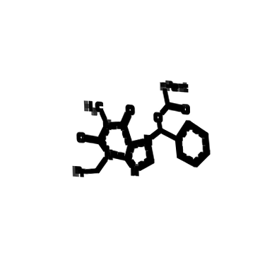 CCCCCC(=O)OC(c1ccccc1)n1cnc2c1c(=O)n(C)c(=O)n2CC(C)C